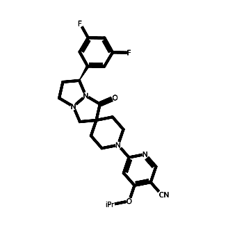 CC(C)Oc1cc(N2CCC3(CC2)CN2CC[C@@H](c4cc(F)cc(F)c4)N2C3=O)ncc1C#N